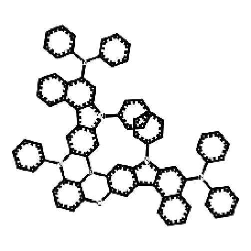 c1ccc(N2c3cc4c5c6ccccc6c(N(c6ccccc6)c6ccccc6)cc5n(-c5ccccc5)c4cc3B3c4cc5c(cc4Oc4cccc2c43)c2c3ccccc3c(N(c3ccccc3)c3ccccc3)cc2n5-c2ccccc2)cc1